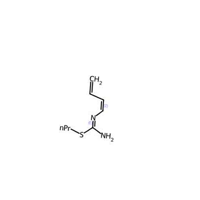 C=C/C=C\N=C(/N)SCCC